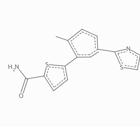 Cc1ccc(-c2nccs2)cc1-c1ccc(C(N)=O)s1